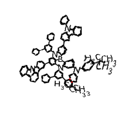 CC(C)(C)c1ccc(N(c2ccc(C(C)(C)C)cc2)c2ccc3c(c2)N(c2cc(-c4ccccc4)cc(-c4ccccc4)c2)c2cc(-c4ccc5c(c4)c4cccc6c7ccccc7n5c64)cc4c2B3c2ccc(-c3ccc5c(c3)c3ccccc3n5-c3ccccc3)cc2N4c2cc(-c3ccccc3)cc(-c3ccccc3)c2)cc1